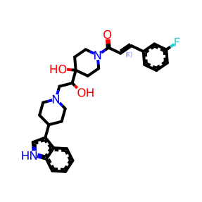 O=C(/C=C/c1cccc(F)c1)N1CCC(O)(C(O)CN2CCC(c3c[nH]c4ccccc34)CC2)CC1